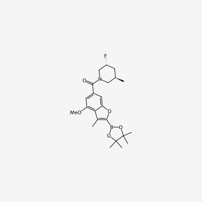 COc1cc(C(=O)N2C[C@H](C)C[C@@H](F)C2)cc2oc(B3OC(C)(C)C(C)(C)O3)c(C)c12